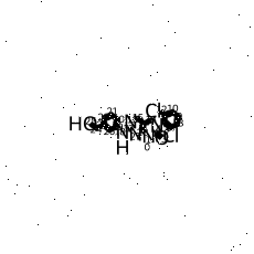 CN1C(=O)N(c2c(Cl)cccc2Cl)Cc2cnc(Nc3cccc(CO)c3)nc21